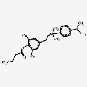 CN(C)c1ccc([Si](C)(C)CCc2cc(C(C)(C)C)c(OC(=O)CCC(=O)O)c(C(C)(C)C)c2)cc1